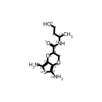 CC(CCO)NC(=O)C1COc2c(N)sc(N)c2O1